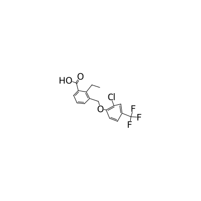 CCc1c(COc2ccc(C(F)(F)F)cc2Cl)cccc1C(=O)O